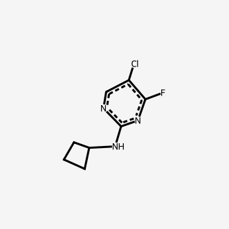 Fc1nc(NC2CCC2)ncc1Cl